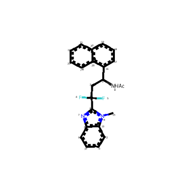 CC(=O)NC(CC(F)(F)c1nc2ccccc2n1C)c1cccc2ccccc12